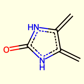 C=c1[nH]c(=O)[nH]c1=C